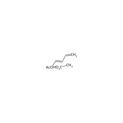 C=CC=COC(C)=O.CC(=O)O